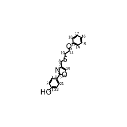 Oc1ccc(-c2nc(CSCCOc3ccccc3)co2)cc1